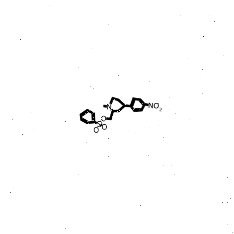 CN1CCC(c2ccc([N+](=O)[O-])cc2)CC1COS(=O)(=O)c1ccccc1